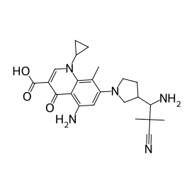 Cc1c(N2CCC(C(N)C(C)(C)C#N)C2)cc(N)c2c(=O)c(C(=O)O)cn(C3CC3)c12